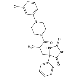 CC(CC1(c2ccccn2)NC(=O)NC1=O)C(=O)N1CCN(c2cccc(Cl)c2)CC1